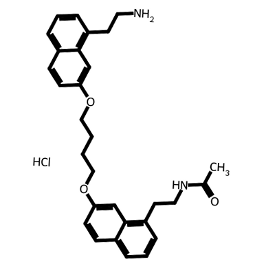 CC(=O)NCCc1cccc2ccc(OCCCCOc3ccc4cccc(CCN)c4c3)cc12.Cl